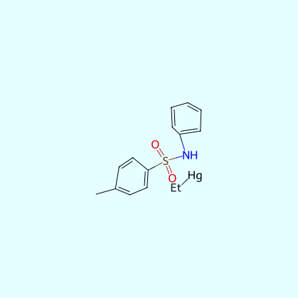 C[CH2][Hg].Cc1ccc(S(=O)(=O)Nc2ccccc2)cc1